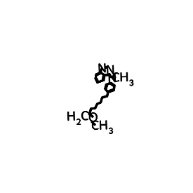 C=C(CCCCCCc1ccc(N(C)c2ncnc3ccccc23)cc1)OCC